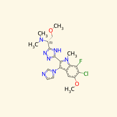 COC[C@H](c1nnc(-c2c(-n3ccnc3)c3cc(OC)c(Cl)c(F)c3n2C)[nH]1)N(C)C